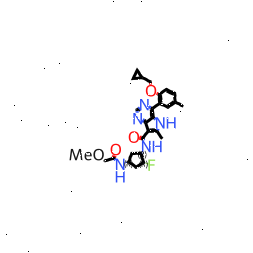 COCC(=O)N[C@H]1C[C@@H](F)[C@H](NC(=O)c2c(C)[nH]c3c(-c4cc(C)ccc4OCC4CC4)ncnc23)C1